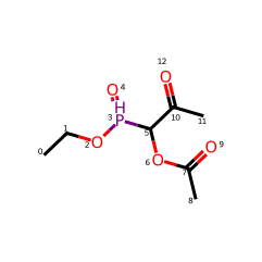 CCO[PH](=O)C(OC(C)=O)C(C)=O